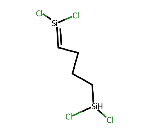 Cl[Si](Cl)=CCCC[SiH](Cl)Cl